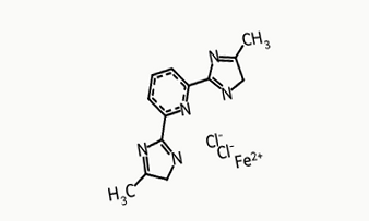 CC1=NC(c2cccc(C3=NCC(C)=N3)n2)=NC1.[Cl-].[Cl-].[Fe+2]